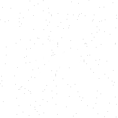 Cc1ccccc1-c1ccc(C(=O)O)cc1CO.[NaH]